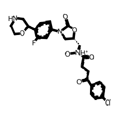 O=C(CCC(=O)[NH+]([O-])C[C@@H]1CN(c2ccc(C3CNCCO3)c(F)c2)C(=O)O1)c1ccc(Cl)cc1